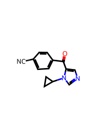 N#Cc1ccc(C(=O)c2cncn2C2CC2)cc1